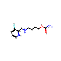 NC(=O)OCCCCNCc1ncccc1F